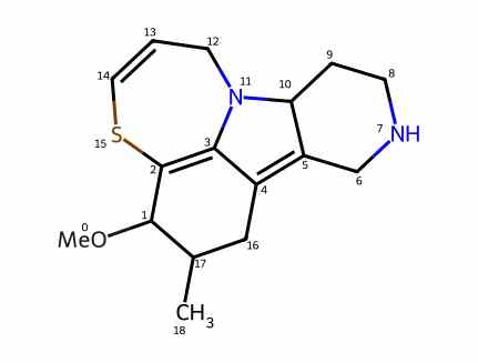 COC1C2=C3C(=C4CNCCC4N3CC=CS2)CC1C